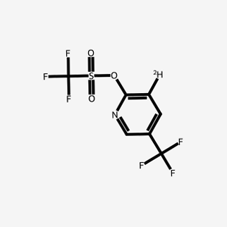 [2H]c1cc(C(F)(F)F)cnc1OS(=O)(=O)C(F)(F)F